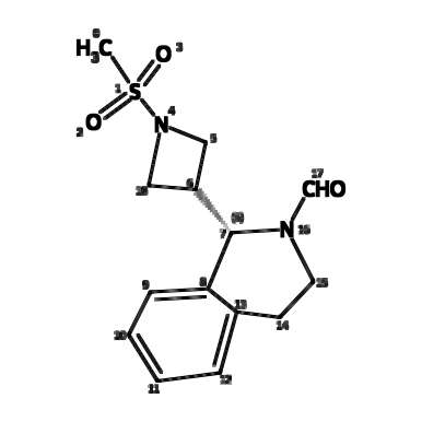 CS(=O)(=O)N1CC([C@H]2c3ccccc3CCN2C=O)C1